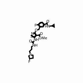 COC(=O)c1c(OCc2cc(C(=O)NC3CC3)ccc2F)nsc1NC(=O)NCCCN1CC[C@@H](F)C1